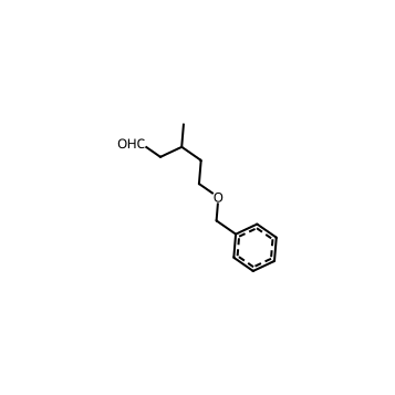 CC(CC=O)CCOCc1ccccc1